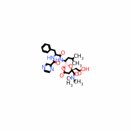 CC(C)CC(NC(=O)C(Cc1ccccc1)NC(=O)c1cnccn1)B1OC(=O)C[C@@](CC(=O)O)(C(=O)N(C)C)O1